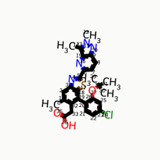 Cc1cc2nc(-c3ccc4nn(C)c(C)c4n3)sc2c(-c2ccc(Cl)cc2OC(C)(C)C)c1CC(=O)O